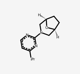 CC(C)c1ccnc(N2C[C@H]3CC[C@@H](C2)O3)n1